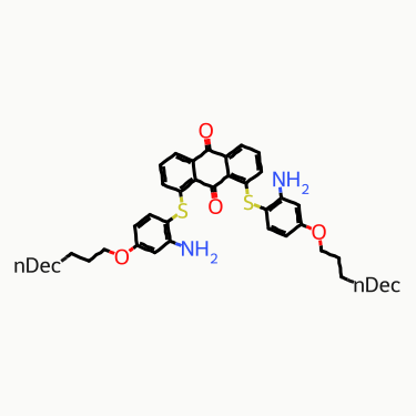 CCCCCCCCCCCCCOc1ccc(Sc2cccc3c2C(=O)c2c(Sc4ccc(OCCCCCCCCCCCCC)cc4N)cccc2C3=O)c(N)c1